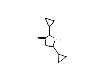 O=C1CC(C2CC2)NC1C1CC1